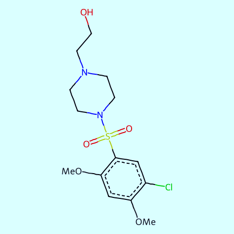 COc1cc(OC)c(S(=O)(=O)N2CCN(CCO)CC2)cc1Cl